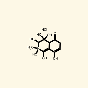 C[N+]1(O)C(O)=C2C(O)=CCC(=O)C2C(O)(O)C1O.Cl